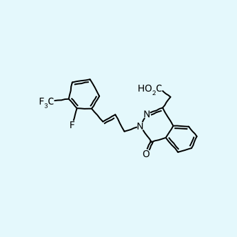 O=C(O)Cc1nn(CC=Cc2cccc(C(F)(F)F)c2F)c(=O)c2ccccc12